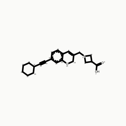 O=C(O)C1CN(CC2=Cc3ccc(C#CC4CCCCC4)cc3OC2)C1